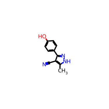 Cc1[nH]nc(-c2ccc(O)cc2)c1C#N